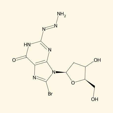 NN=Nc1nc2c(nc(Br)n2[C@H]2CC(O)[C@@H](CO)O2)c(=O)[nH]1